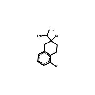 CC(N)C1(O)CCc2c(Br)cccc2C1